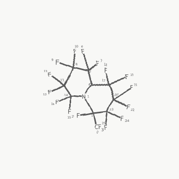 FC(F)(F)C1(F)N2C(C(F)(F)C(F)(F)C(F)(F)C2(F)F)C(F)(F)C(F)(F)C1(F)F